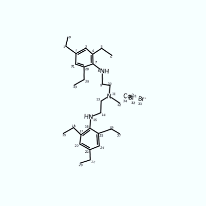 CCc1cc(CC)c(NCCN(C)CCNc2c(CC)cc(CC)cc2CC)c(CC)c1.[Br-].[Br-].[Co+2]